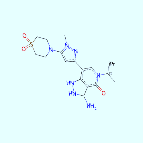 CC(C)[C@H](C)n1cc(-c2cc(N3CCS(=O)(=O)CC3)n(C)n2)c2c(c1=O)C(N)NN2